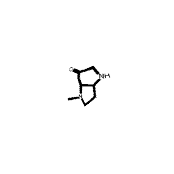 CN1CCC2NCC(=O)C21